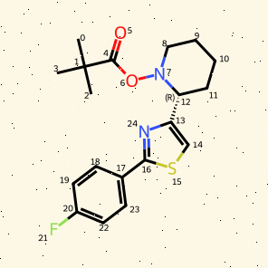 CC(C)(C)C(=O)ON1CCCC[C@@H]1c1csc(-c2ccc(F)cc2)n1